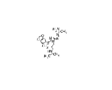 C/C(N)=N\C=N/c1cnc(Sc2cc3c(cc2C)OCO3)n1CCCNC(C)C